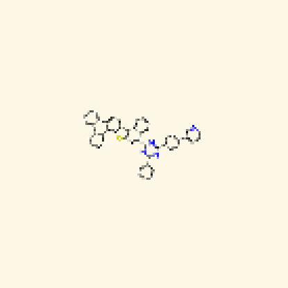 c1ccc(-c2nc(-c3ccc(-c4cccnc4)cc3)nc(-c3cc4sc5c(ccc6c7ccccc7c7ccccc7c65)c4c4ccccc34)n2)cc1